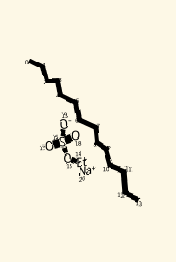 CCCCCCCCCCCCCC.CCOS(=O)(=O)[O-].[Na+]